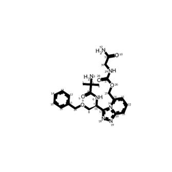 CC(C)(N)C(=O)N[C@H](COCc1ccccc1)c1nnc2cccc(COC(=O)NCC(N)=O)n12